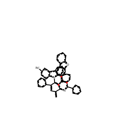 C=C(/C=C(\C(=C\c1ccccc1)n1c2ccccc2c2cc(C#N)ccc21)c1ccccc1)c1nc(-c2ccccc2)nc(-c2ccc3c(c2)oc2ccccc23)n1